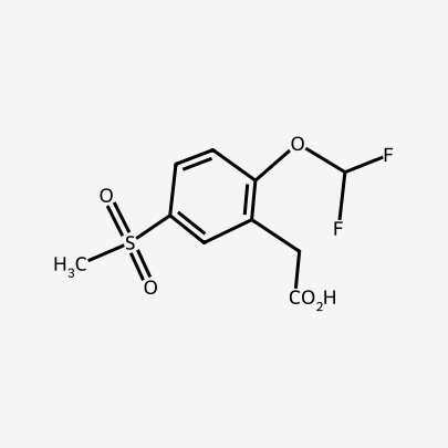 CS(=O)(=O)c1ccc(OC(F)F)c(CC(=O)O)c1